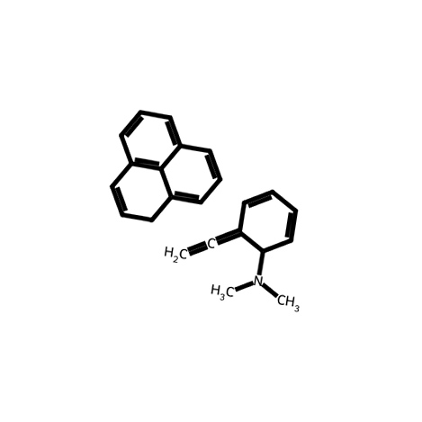 C1=Cc2cccc3cccc(c23)C1.C=C=C1C=CC=CC1N(C)C